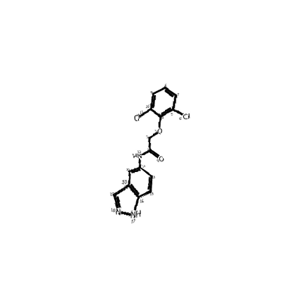 O=C(COc1c(Cl)cccc1Cl)Nc1ccc2[nH]ncc2c1